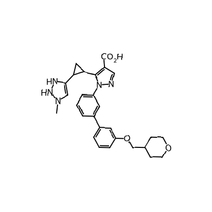 CN1C=C(C2CC2c2c(C(=O)O)cnn2-c2cccc(-c3cccc(OCC4CCOCC4)c3)c2)NN1